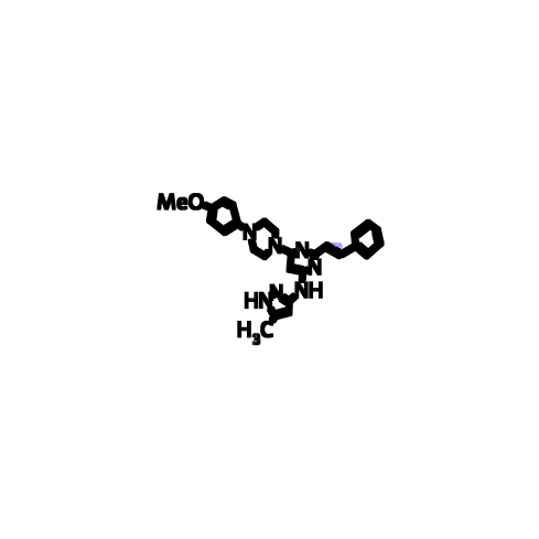 COc1ccc(N2CCN(c3cc(Nc4cc(C)[nH]n4)nc(/C=C/c4ccccc4)n3)CC2)cc1